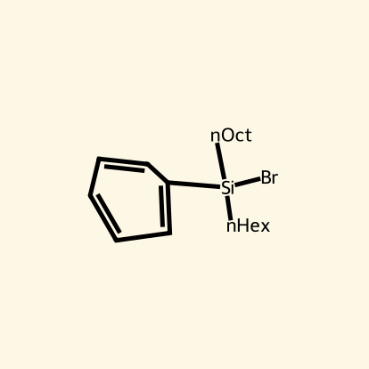 CCCCCCCC[Si](Br)(CCCCCC)c1ccccc1